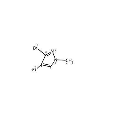 C[CH]c1cn(C)nc1Br